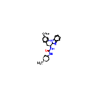 COc1ccc(CC(NC(=O)NC2CCC(C)CC2)c2nc3ccccc3[nH]2)cc1